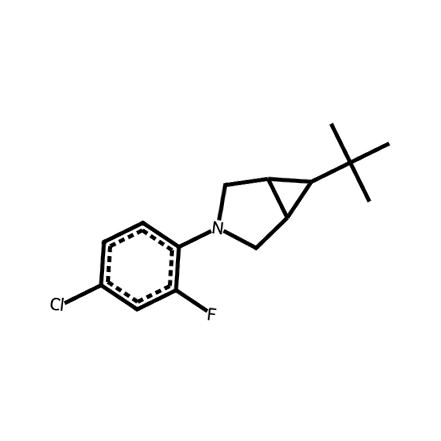 CC(C)(C)C1C2CN(c3ccc(Cl)cc3F)CC21